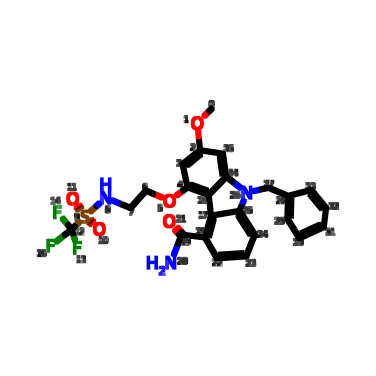 COc1cc(OCCNS(=O)(=O)C(F)(F)F)c2c3c(C(N)=O)cccc3n(Cc3ccccc3)c2c1